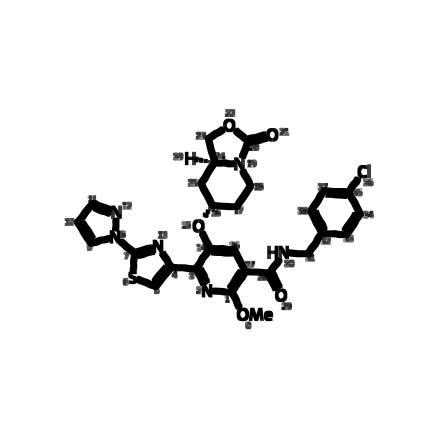 COc1nc(-c2csc(-n3cccn3)n2)c(O[C@H]2CCN3C(=O)OC[C@@H]3C2)cc1C(=O)NCc1ccc(Cl)cc1